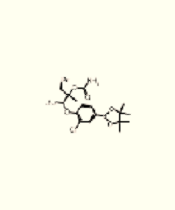 CC(C)CC(C)(OC(N)=O)C(Oc1ccc(B2OC(C)(C)C(C)(C)O2)cc1Cl)C(C)(C)C